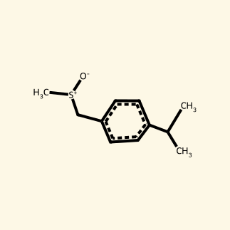 CC(C)c1ccc(C[S+](C)[O-])cc1